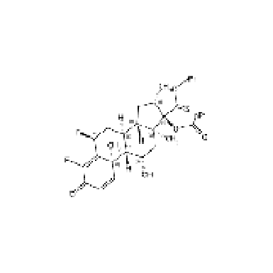 CCCC(=O)O[C@]1(C(=S)OC(C)C)[C@@H](C)C[C@H]2[C@@H]3C[C@H](F)C4=C(F)C(=O)C=C[C@]4(C)[C@H]3[C@@H](O)C[C@@]21C